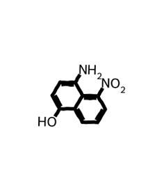 Nc1ccc(O)c2cccc([N+](=O)[O-])c12